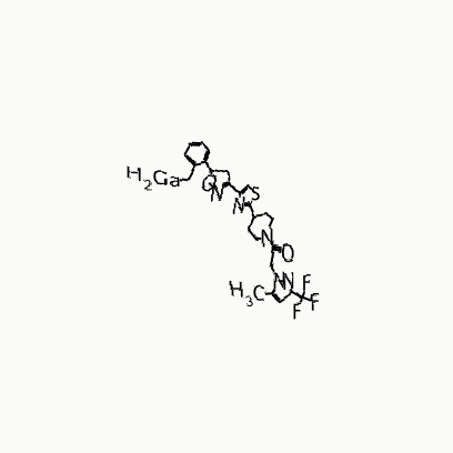 Cc1cc(C(F)(F)F)nn1CC(=O)N1CCC(c2nc(C3=NOC(c4ccccc4[CH2][GaH2])C3)cs2)CC1